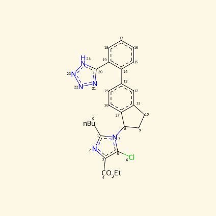 CCCCc1nc(C(=O)OCC)c(Cl)n1C1CCc2cc(-c3ccccc3-c3nnn[nH]3)ccc21